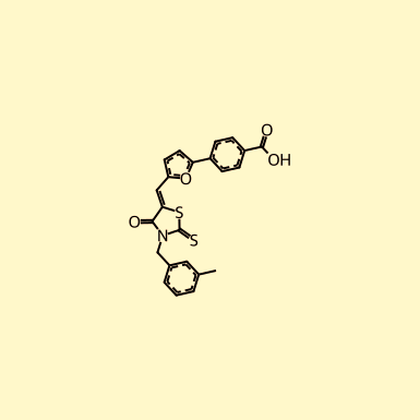 Cc1cccc(CN2C(=O)C(=Cc3ccc(-c4ccc(C(=O)O)cc4)o3)SC2=S)c1